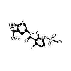 CCCS(=O)(=O)Nc1ccc(F)c(C(=O)Nc2cnc3[nH]nc(OC)c3c2)c1Cl